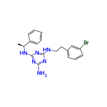 C[C@H](Nc1nc(N)nc(NCCc2cccc(Br)c2)n1)c1ccccc1